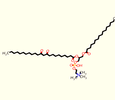 CCCCCCCCCCCCCCCC(=O)OCC(COP(=O)(O)OCC[N+](C)(C)C)OC(=O)CCCCCCCCC(=O)CC(=O)CCCCCCCCCCC